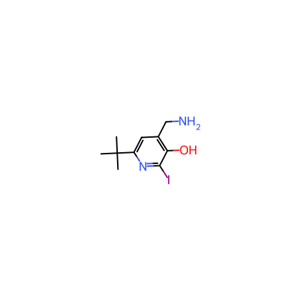 CC(C)(C)c1cc(CN)c(O)c(I)n1